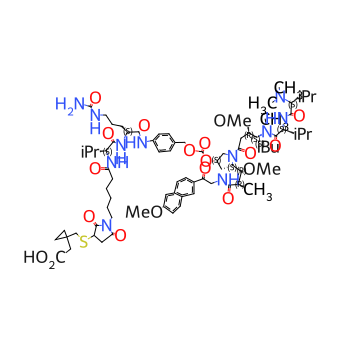 CC[C@H](C)[C@@H]([C@@H](CC(=O)N1C[C@@H](OC(=O)OCc2ccc(NC(=O)[C@H](CCCNC(N)=O)NC(=O)[C@@H](NC(=O)CCCCCN3C(=O)CC(SCC4(CC(=O)O)CC4)C3=O)C(C)C)cc2)C[C@H]1[C@H](OC)[C@@H](C)C(=O)NCC(=O)c1ccc2cc(OC)ccc2c1)OC)N(C)C(=O)[C@@H](NC(=O)[C@H](C(C)C)N(C)C)C(C)C